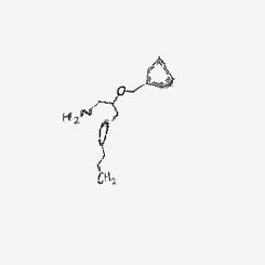 C=CCOCC(CN)OCc1ccccc1